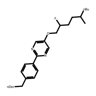 CCCCCCCCCCCc1ccc(-c2ncc(OCC(F)CCC(C)CCCC)cn2)cc1